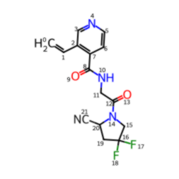 C=Cc1cnccc1C(=O)NCC(=O)N1CC(F)(F)CC1C#N